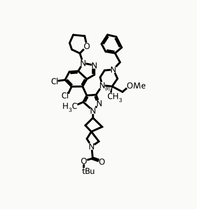 COC[C@@]1(C)CN(Cc2ccccc2)CCN1c1nn(C2CC3(C2)CN(C(=O)OC(C)(C)C)C3)c(C)c1-c1c(Cl)c(Cl)cc2c1cnn2C1CCCCO1